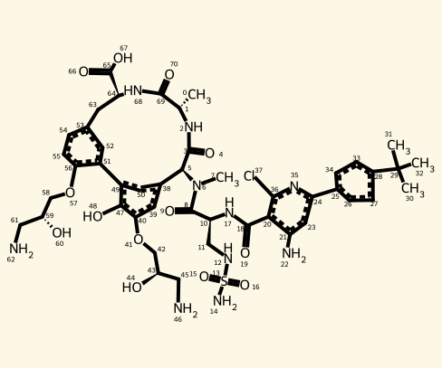 C[C@@H]1NC(=O)[C@@H](N(C)C(=O)[C@H](CNS(N)(=O)=O)NC(=O)c2c(N)cc(-c3ccc(C(C)(C)C)cc3)nc2Cl)c2cc(OC[C@H](O)CN)c(O)c(c2)-c2cc(ccc2OC[C@H](O)CN)C[C@@H](C(=O)O)NC1=O